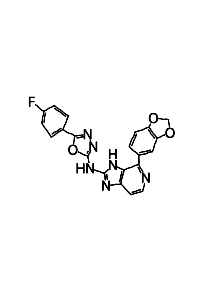 Fc1ccc(-c2nnc(Nc3nc4ccnc(-c5ccc6c(c5)OCO6)c4[nH]3)o2)cc1